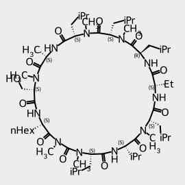 CCCCCC[C@@H]1NC(=O)[C@H](CO)N(C)C(=O)[C@H](C)NC(=O)[C@H](CC(C)C)N(C)C(=O)[C@H](CC(C)C)N(C)C(=O)[C@@H](CC(C)C)NC(=O)[C@H](CC)NC(=O)[C@H](CC(C)C)N(C)C(=O)[C@H](C(C)C)NC(=O)[C@H](CC(C)C)N(C)C(=O)N(C)C1=O